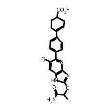 CC(Oc1nc2nc(-c3ccc(C4=CCC(C(=O)O)CC4)cc3)c(Cl)cc2[nH]1)C(N)=O